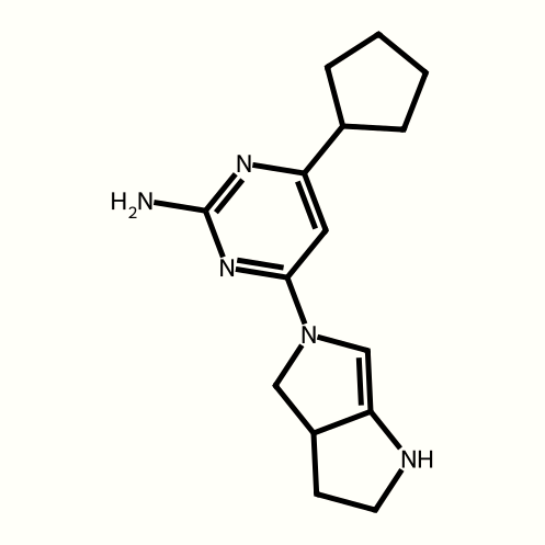 Nc1nc(C2CCCC2)cc(N2C=C3NCCC3C2)n1